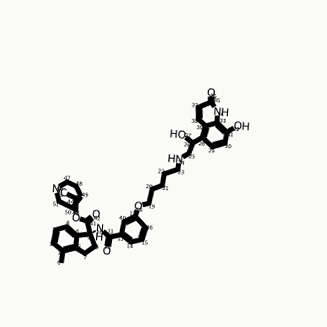 Cc1cccc2c1CC[C@]2(NC(=O)c1cccc(OCCCCCNCC(O)c2ccc(O)c3[nH]c(=O)ccc23)c1)C(=O)OC1CN2CCC1CC2